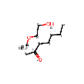 CCCCCC(C)=O.CCCCOCCO